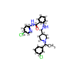 CC(c1cccc(Cl)c1)N1CCC(CNc2ccccc2C(=O)Nc2ccc(Cl)cn2)CC1